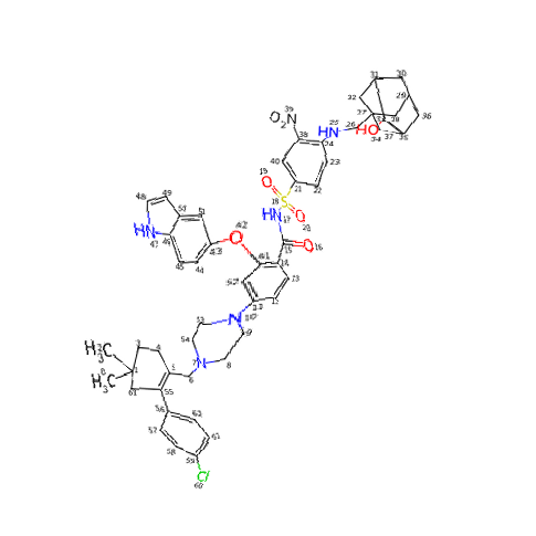 CC1(C)CCC(CN2CCN(c3ccc(C(=O)NS(=O)(=O)c4ccc(NCC56CC7CC(C5)C(O)C(C7)C6)c([N+](=O)[O-])c4)c(Oc4ccc5[nH]ccc5c4)c3)CC2)=C(c2ccc(Cl)cc2)C1